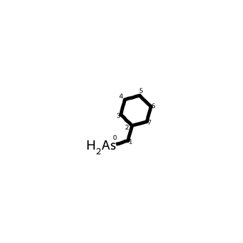 [AsH2]CC1CCCCC1